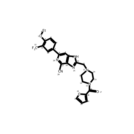 CCOc1ccc(-c2cc3[nH]c(CN4CCN(C(=O)c5ccco5)CC4)nc3c(C#N)n2)cc1C(F)(F)F